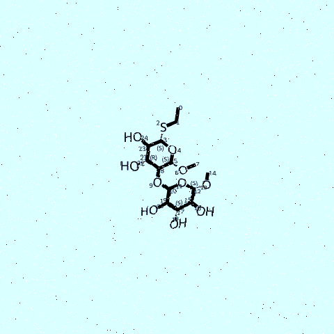 CCS[C@@H]1O[C@H](OC)C(OC2O[C@H](OC)C(O)[C@H](O)C2O)[C@H](O)C1O